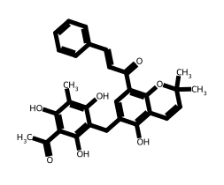 CC(=O)c1c(O)c(C)c(O)c(Cc2cc(C(=O)/C=C/c3ccccc3)c3c(c2O)C=CC(C)(C)O3)c1O